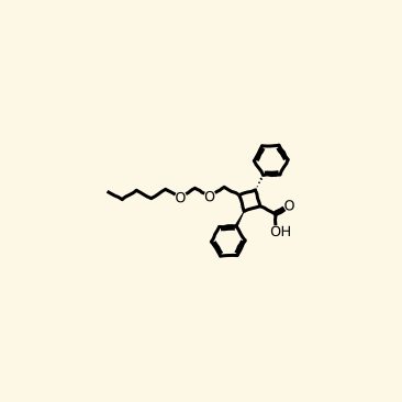 CCCCCOCOCC1[C@H](c2ccccc2)C(C(=O)O)[C@H]1c1ccccc1